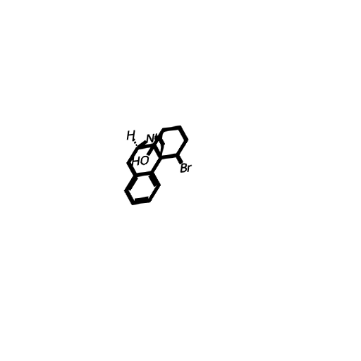 OC12CCCC(Br)[C@@]13CCN[C@@H]2Cc1ccccc13